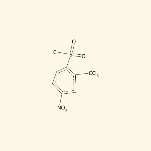 O=[N+]([O-])c1ccc(S(=O)(=O)Cl)c(C(Cl)(Cl)Cl)c1